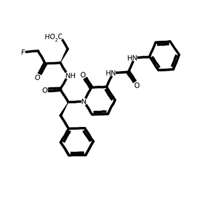 O=C(O)C[C@@H](NC(=O)[C@H](Cc1ccccc1)n1cccc(NC(=O)Nc2ccccc2)c1=O)C(=O)CF